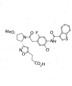 CO[C@H]1C[C@@H](c2cc(CCC(=O)O)on2)N(C(=O)Cc2cc(Cl)c(NC(=O)c3csc4ccccc34)cc2F)C1